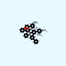 CCCCc1ccc(N2c3cc4sc5ccccc5c4cc3B3c4c(cc(-c5c(C)cc(C)cc5C)cc42)-c2cc(-c4ccccc4)ccc2N3c2ccccc2)c(-c2ccccc2)c1